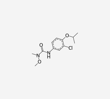 CON(C)C(=O)Nc1ccc(OC(C)C)c(Cl)c1